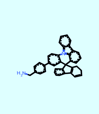 NCc1ccc(-c2ccc3c(c2)C2(C4=C(C=CCC4)c4ccccc42)c2cccc4c5ccccc5n-3c24)cc1